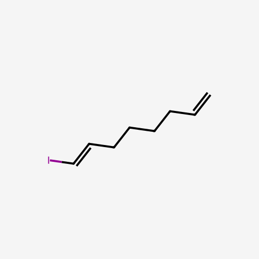 C=CCCCCC=CI